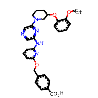 CCOc1ccccc1OC1CCCN(c2cncc(Nc3cccc(OCc4ccc(C(=O)O)cc4)n3)n2)C1